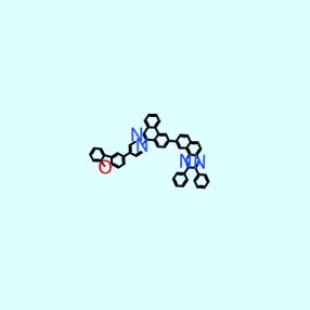 c1ccc(-c2nc3ccc4ccc(-c5ccc6c(c5)c5ccccc5c5nc7cc(-c8ccc9oc%10ccccc%10c9c8)ccn7c65)cc4c3nc2-c2ccccc2)cc1